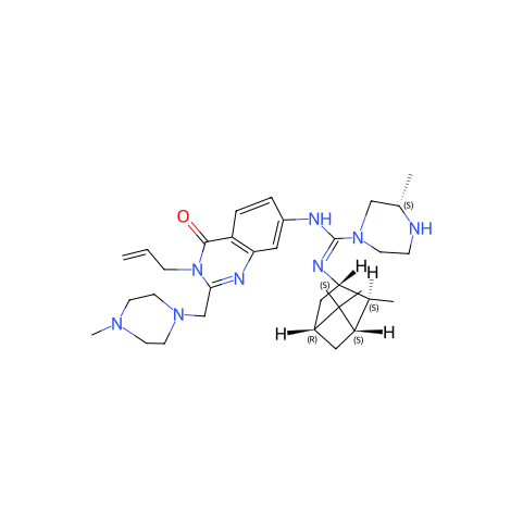 C=CCn1c(CN2CCN(C)CC2)nc2cc(NC(=N[C@H]3C[C@H]4C[C@@H]([C@@H]3C)C4(C)C)N3CCN[C@@H](C)C3)ccc2c1=O